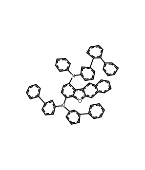 c1ccc(-c2cccc(N(c3cccc(-c4ccccc4)c3)c3ccc(N(c4ccccc4)c4cccc(-c5ccccc5-c5ccccc5)c4)c4c3oc3cc5ccccc5cc34)c2)cc1